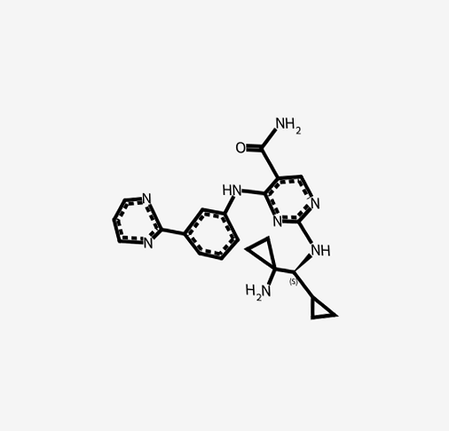 NC(=O)c1cnc(N[C@@H](C2CC2)C2(N)CC2)nc1Nc1cccc(-c2ncccn2)c1